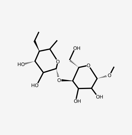 CC[C@H]1C(C)O[C@H](O[C@@H]2C(O)C(O)[C@@H](OC)O[C@H]2CO)C(O)[C@@H]1O